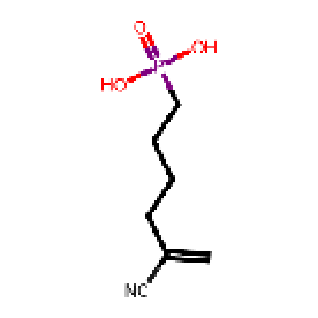 C=C(C#N)CCCCP(=O)(O)O